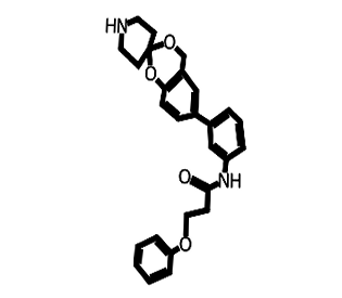 O=C(CCOc1ccccc1)Nc1cccc(-c2ccc3c(c2)COC2(CCNCC2)O3)c1